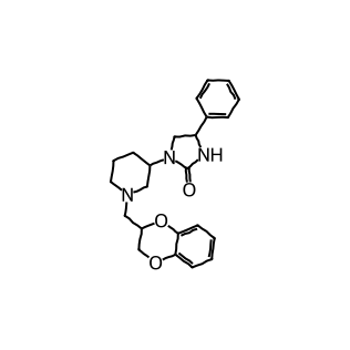 O=C1NC(c2ccccc2)CN1C1CCCN(CC2COc3ccccc3O2)C1